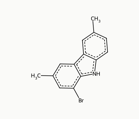 Cc1ccc2[nH]c3c(Br)cc(C)cc3c2c1